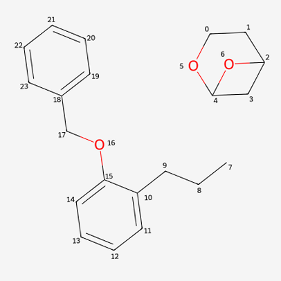 C1CC2CC(O1)O2.CCCc1ccccc1OCc1ccccc1